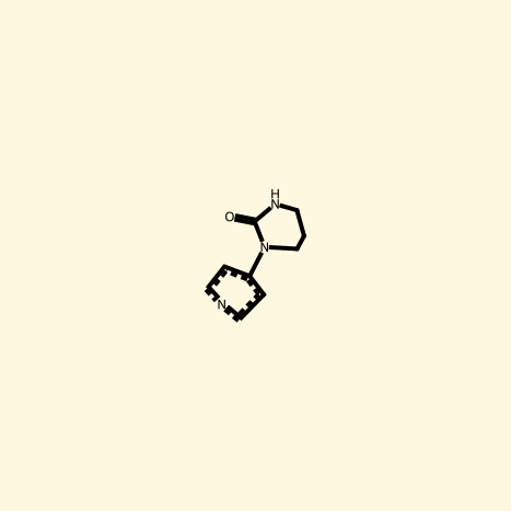 O=C1NCCCN1c1ccncc1